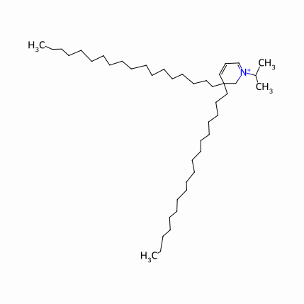 CCCCCCCCCCCCCCCCCCC1(CCCCCCCCCCCCCCCCCC)C=CC=[N+](C(C)C)C1